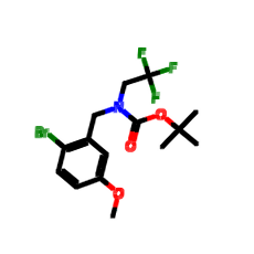 COc1ccc(Br)c(CN(CC(F)(F)F)C(=O)OC(C)(C)C)c1